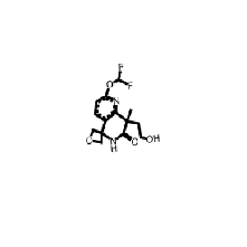 CC1(CCO)C(=O)NC2(COC2)c2ccc(OC(F)F)nc21